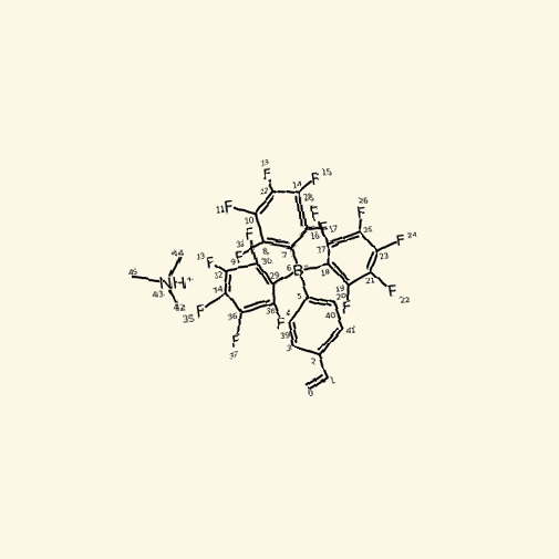 C=Cc1ccc([B-](c2c(F)c(F)c(F)c(F)c2F)(c2c(F)c(F)c(F)c(F)c2F)c2c(F)c(F)c(F)c(F)c2F)cc1.C[NH+](C)C